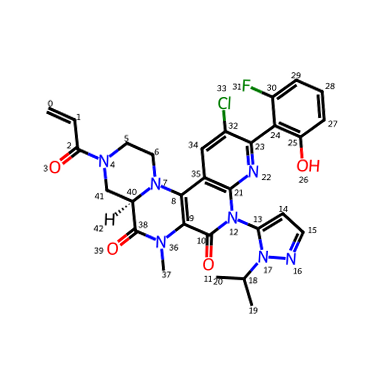 C=CC(=O)N1CCN2c3c(c(=O)n(-c4ccnn4C(C)C)c4nc(-c5c(O)cccc5F)c(Cl)cc34)N(C)C(=O)[C@H]2C1